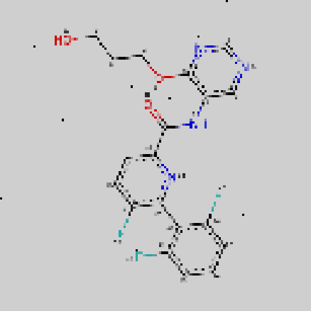 O=C(Nc1cncnc1OCCCO)c1ccc(F)c(-c2c(F)cccc2F)n1